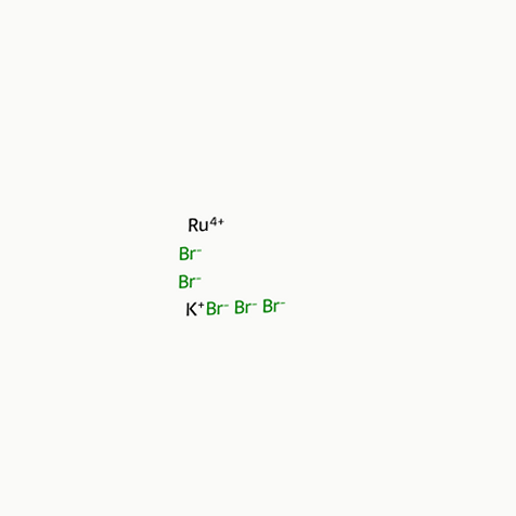 [Br-].[Br-].[Br-].[Br-].[Br-].[K+].[Ru+4]